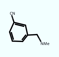 CNCc1cccc(C#N)c1